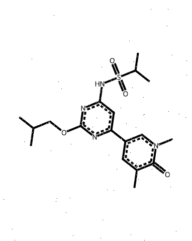 Cc1cc(-c2cc(NS(=O)(=O)C(C)C)nc(OCC(C)C)n2)cn(C)c1=O